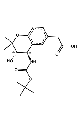 CC(C)(C)OC(=O)N[C@@H]1c2cc(CC(=O)O)ccc2OC(C)(C)[C@H]1O